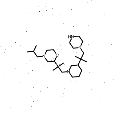 CC(C)CN1CCOC(C(C)(C)CN2CCCC(C(C)(C)CN3CCNCC3)C2)C1